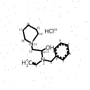 C=CN(Cc1ccccc1)C(O)CN1CCCCC1.Cl